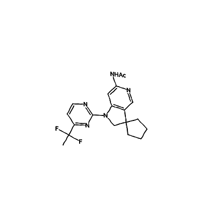 CC(=O)Nc1cc2c(cn1)C1(CCCC1)CN2c1nccc(C(C)(F)F)n1